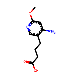 COc1cc(N)c(CCCC(=O)O)cn1